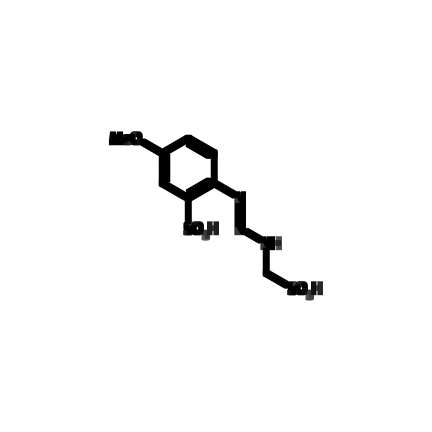 COc1ccc(N=NNCS(=O)(=O)O)c(S(=O)(=O)O)c1